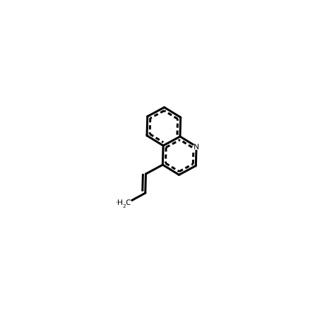 [CH2]C=Cc1ccnc2ccccc12